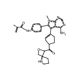 C=C(C)C(=O)Nc1ccc(-c2c(C3=CCC(C(=O)C4OCC45CCCN5)CC3)c3c(N)ncnc3n2C)cc1